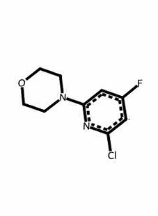 Fc1[c]c(Cl)nc(N2CCOCC2)c1